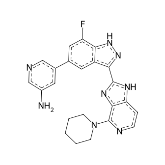 Nc1cncc(-c2cc(F)c3[nH]nc(-c4nc5c(N6CCCCC6)nccc5[nH]4)c3c2)c1